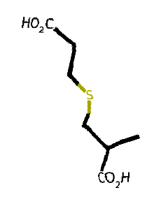 CC(CSCCC(=O)O)C(=O)O